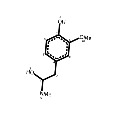 CNC(O)Cc1ccc(O)c(OC)c1